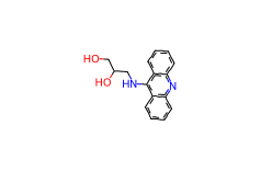 OCC(O)CNc1c2ccccc2nc2ccccc12